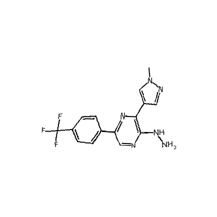 Cn1cc(-c2nc(-c3ccc(C(F)(F)F)cc3)cnc2NN)cn1